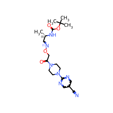 C[C@@H](/C=N/OCC(=O)N1CCN(c2ncc(C#N)cn2)CC1)NC(=O)OC(C)(C)C